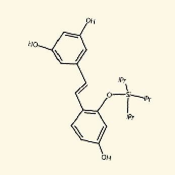 CC(C)[Si](Oc1cc(O)ccc1/C=C/c1cc(O)cc(O)c1)(C(C)C)C(C)C